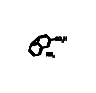 N.O=S(=O)(O)c1cc2c3c-2cccc3c1